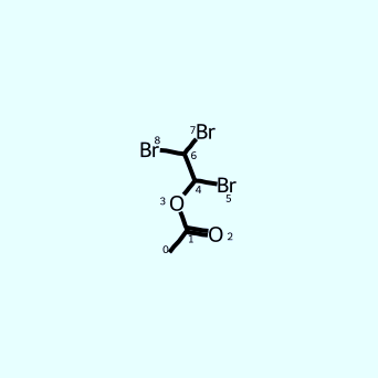 CC(=O)OC(Br)C(Br)Br